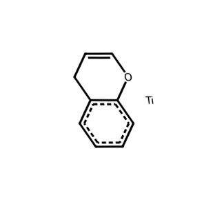 C1=COc2ccccc2C1.[Ti]